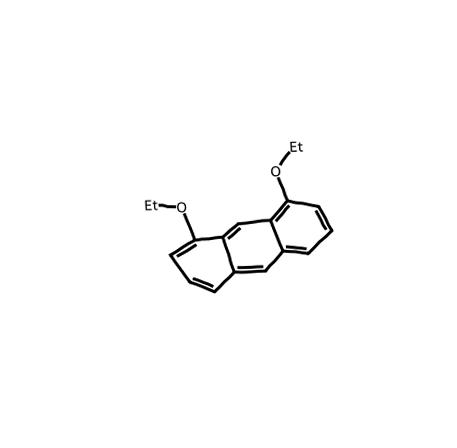 CCOc1cccc2cc3cccc(OCC)c3cc12